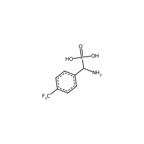 NC(c1ccc(C(F)(F)F)cc1)P(=O)(O)O